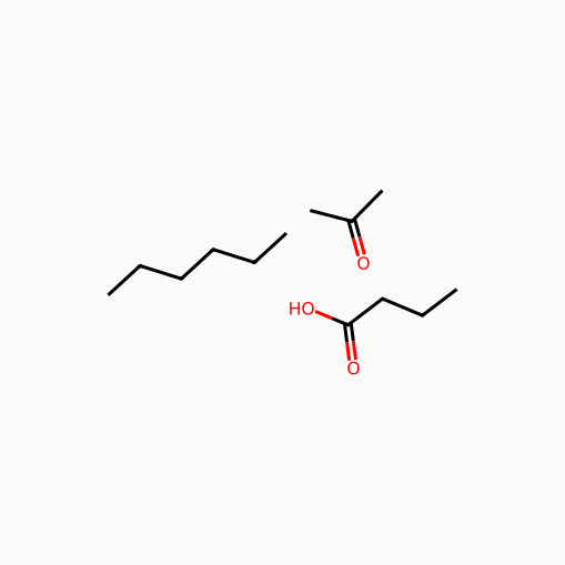 CC(C)=O.CCCC(=O)O.CCCCCC